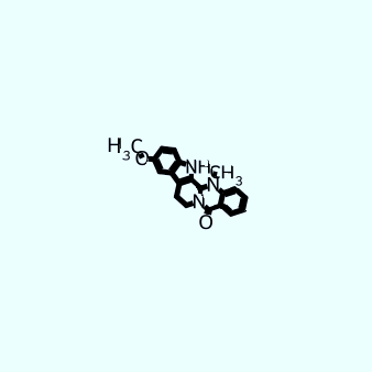 COc1ccc2[nH]c3c(c2c1)CCN1C(=O)c2ccccc2N(C)C31